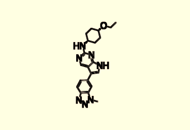 CCO[C@H]1CC[C@@H](Nc2ncc3c(-c4ccc5nnn(C)c5c4)c[nH]c3n2)CC1